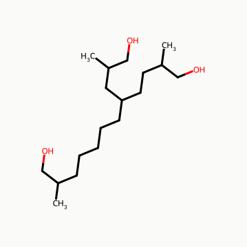 CC(CO)CCCCCC(CCC(C)CO)CC(C)CO